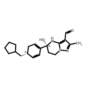 Cc1nn2c(c1C=O)N[C@](O)(C1=CC[C@@H](CC3CCCC3)C=C1)CC2